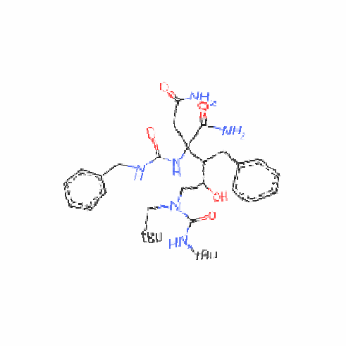 CC(C)(C)CN(CC(O)C(Cc1ccccc1)C(CC(N)=O)(NC(=O)NCc1ccccc1)C(N)=O)C(=O)NC(C)(C)C